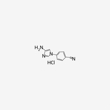 Cl.N#Cc1ccc(-n2cnc(N)c2)cc1